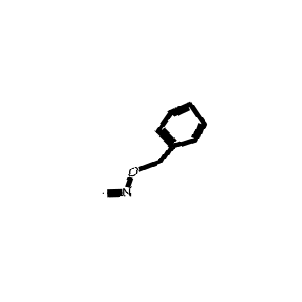 [CH]=NOCc1ccccc1